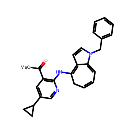 COC(=O)c1cc(C2CC2)cnc1NC1=c2ccn(Cc3ccccc3)c2=CC=CC1